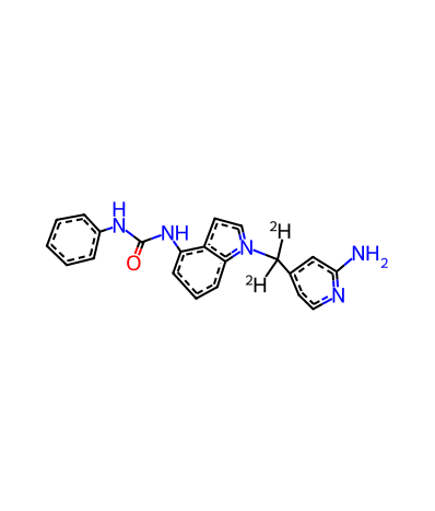 [2H]C([2H])(c1ccnc(N)c1)n1ccc2c(NC(=O)Nc3ccccc3)cccc21